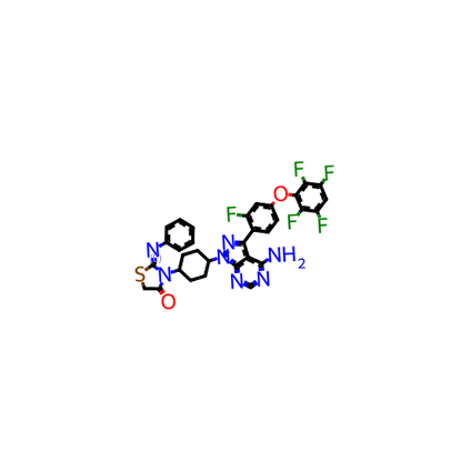 Nc1ncnc2c1c(-c1ccc(Oc3c(F)c(F)cc(F)c3F)cc1F)nn2C1CCC(N2C(=O)CS/C2=N/c2ccccc2)CC1